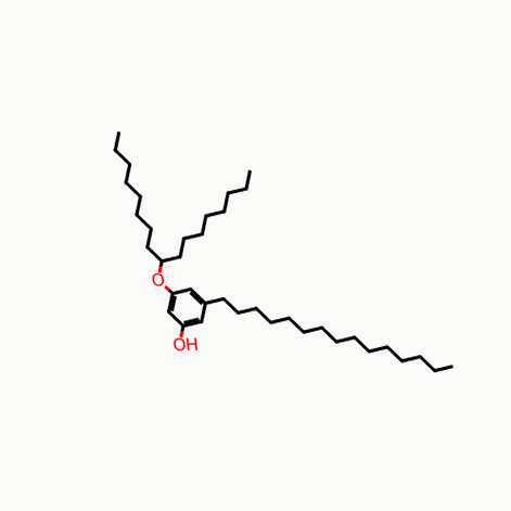 CCCCCCCCCCCCCCCc1cc(O)cc(OC(CCCCCCCC)CCCCCCCC)c1